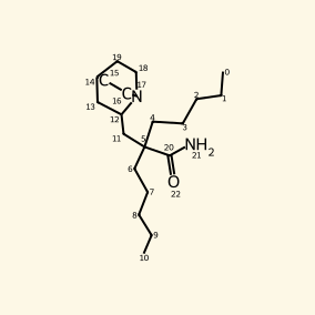 CCCCCC(CCCCC)(CC1CC2CCN1CC2)C(N)=O